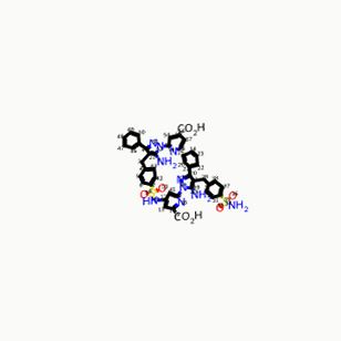 Nc1c(Cc2ccc(S(=O)(=O)Nc3cc(C(=O)O)nc(-n4nc(-c5ccccc5)c(Cc5ccc(S(N)(=O)=O)cc5)c4N)c3)cc2)c(-c2ccccc2)nn1-c1cc(C(=O)O)ccn1